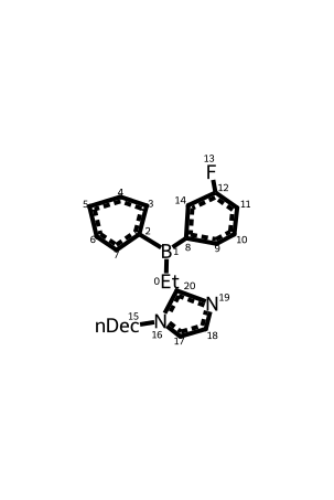 CCB(c1ccccc1)c1cccc(F)c1.CCCCCCCCCCn1ccnc1